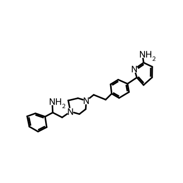 Nc1cccc(-c2ccc(CCN3CCN(CC(N)c4ccccc4)CC3)cc2)n1